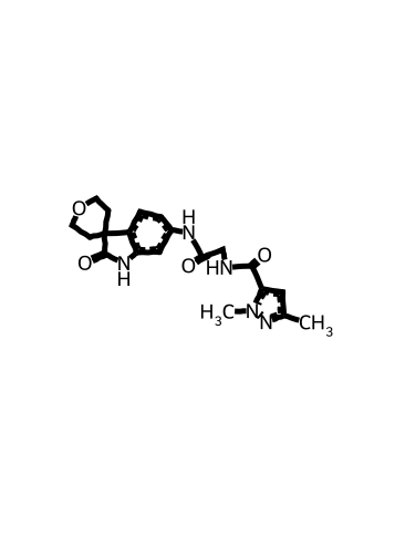 Cc1cc(C(=O)NCC(=O)Nc2ccc3c(c2)NC(=O)C32CCOCC2)n(C)n1